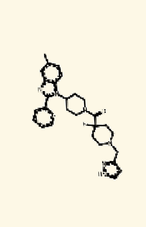 Cc1ccc2c(c1)nc(-c1ccccn1)n2C1CCN(C(=O)C2(F)CCN(Cc3cc[nH]n3)CC2)CC1